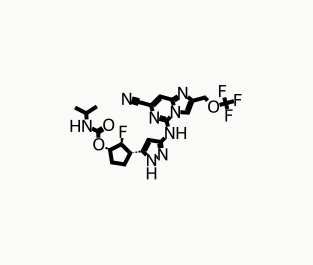 CC(C)NC(=O)O[C@H]1CC[C@@H](c2cc(Nc3nc(C#N)cc4nc(COC(F)(F)F)cn34)n[nH]2)[C@@H]1F